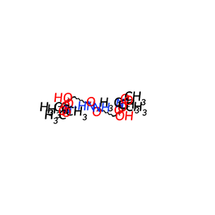 CCCCCC(OC(=O)C[N+](C)(C)CCOC(C)=O)C(O)C/C=C\CCCCCCCC(=O)NCCNC(=O)CCCCCCC/C=C\CC(O)C(CCCCC)OC(=O)C[N+](C)(C)OC(C)=O